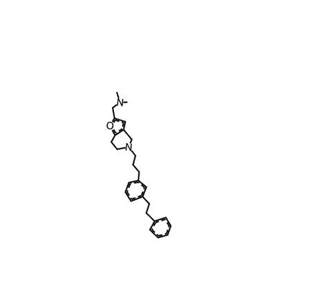 CN(C)Cc1cc2c(o1)CCN(CCCc1cccc(CCc3ccccc3)c1)C2